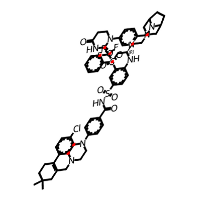 CC1(C)CCC(c2ccc(Cl)cc2)=C(CN2CCN(c3ccc(C(=O)NS(=O)(=O)c4ccc(N[C@H](CCN5CC6CCC(C5)N6Cc5ccc(N6CCC(=O)NC6=O)cn5)CSc5ccccc5)c(S(=O)(=O)C(F)(F)F)c4)cc3)CC2)C1